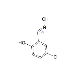 O/N=C/c1cc(Cl)ccc1O